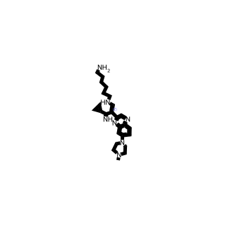 CN1CCN(c2ccc3ncc(/C(=C/NCCCCCCN)C(=N)C4CC4)nc3c2)CC1